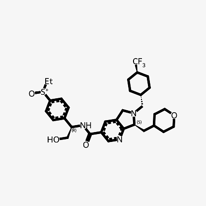 CC[S+]([O-])c1ccc([C@H](CO)NC(=O)c2cnc3c(c2)CN(C[C@H]2CC[C@H](C(F)(F)F)CC2)[C@H]3CC2CCOCC2)cc1